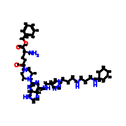 N[C@@H](CCC(=O)N1CCN(c2nc(NCc3cn(CCCNCCCNC4CCCCC4)nn3)c3nc[nH]c3n2)CC1)C(=O)OCc1ccccc1